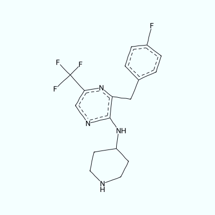 Fc1ccc(Cc2nc(C(F)(F)F)cnc2NC2CCNCC2)cc1